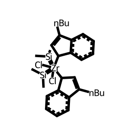 CCCCC1=C[CH]([Zr]([Cl])([Cl])([CH]2C=C(CCCC)c3ccccc32)(=[Si](C)C)=[Si](C)C)c2ccccc21